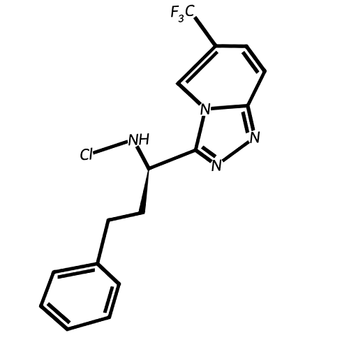 FC(F)(F)c1ccc2nnc([C@@H](CCc3ccccc3)NCl)n2c1